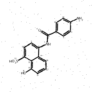 Nc1ccc(C(=O)Nc2ccc(S(=O)(=O)O)c3c(O)cccc23)cc1